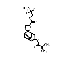 C=C(C)C(=O)OC12CC3CC(C1)C1(OCC(C(=O)OCC(F)(F)S(=O)(=O)O)O1)C(C3)C2